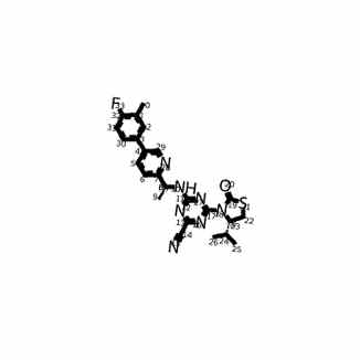 Cc1cc(-c2ccc([C@H](C)Nc3nc(C#N)nc(N4C(=O)SC[C@@H]4C(C)C)n3)nc2)ccc1F